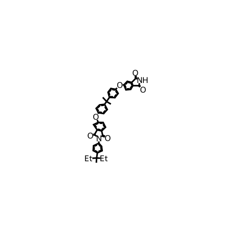 CCC(C)(CC)c1ccc(N2C(=O)c3ccc(Oc4ccc(C(C)(C)c5ccc(Oc6ccc7c(c6)C(=O)NC7=O)cc5)cc4)cc3C2=O)cc1